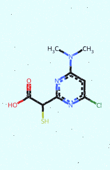 CN(C)c1cc(Cl)nc(C(S)C(=O)O)n1